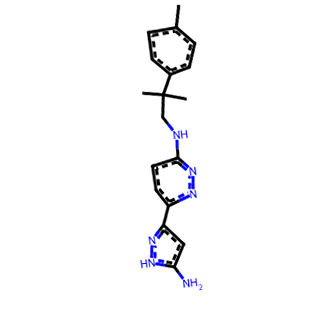 Cc1ccc(C(C)(C)CNc2ccc(-c3cc(N)[nH]n3)nn2)cc1